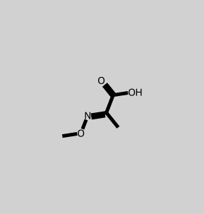 CO/N=C(\C)C(=O)O